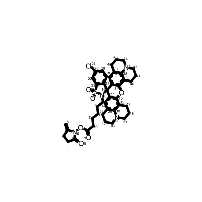 C=C1CCC(=O)N1OC(=O)CCCCCN1C2(c3ccc(Cl)cc3S1(=O)=O)c1cc3c4c(c1Oc1c2cc2c5c1CCCN5CCC2)CCCN4CCC3